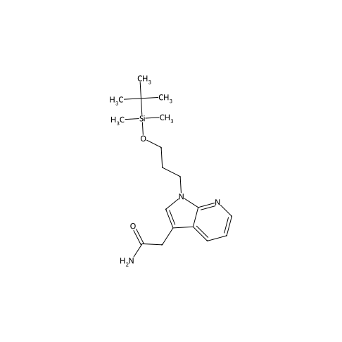 CC(C)(C)[Si](C)(C)OCCCn1cc(CC(N)=O)c2cccnc21